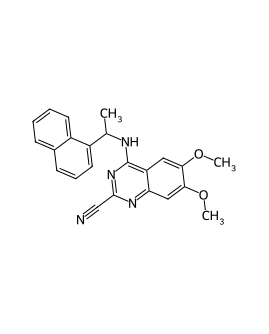 COc1cc2nc(C#N)nc(NC(C)c3cccc4ccccc34)c2cc1OC